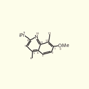 COc1ccc2c(C)cc(C(C)C)nc2c1C